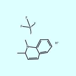 CC1C=Cc2ccccc2N1C.F[B-](F)(F)F.[H+]